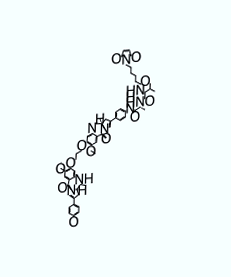 COc1ccc(C2=CN3C(=O)c4cc(OC)c(OCCCOc5cc6c(cc5OC)C(=O)N5C=C(c7ccc(NC(=O)[C@H](C)NC(=O)C(NC(=O)CCCCCN8C(=O)C=CC8=O)C(C)C)cc7)C[C@H]5C=N6)cc4NC(C)[C@@H]3C2)cc1